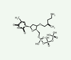 C=C(CCN)COC1C[C@H](n2cc(C)c(=O)[nH]c2=O)O[C@@H]1COP(=O)(O)OP(=O)(O)OP(=O)(O)O